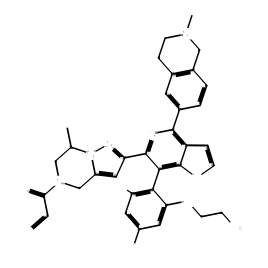 C=CC(=O)N1Cc2cc(-c3nc(-c4ccc5c(c4)CCN(C)C5)c4ccsc4c3-c3c(F)cc(F)cc3OCCO)nn2C(C)C1